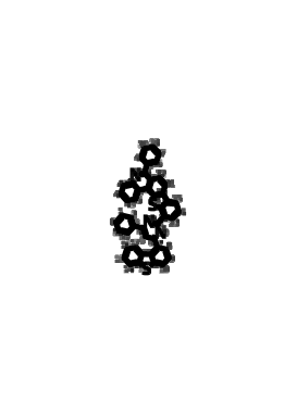 c1ccc(-c2cc(-c3cccc4sc5ccccc5c34)nc(-c3cccc4c3sc3c4ccc4c(-c5ccccc5)nc5ccccc5c43)n2)cc1